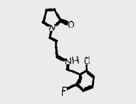 O=C1CCCN1CCCNCc1c(F)cccc1Cl